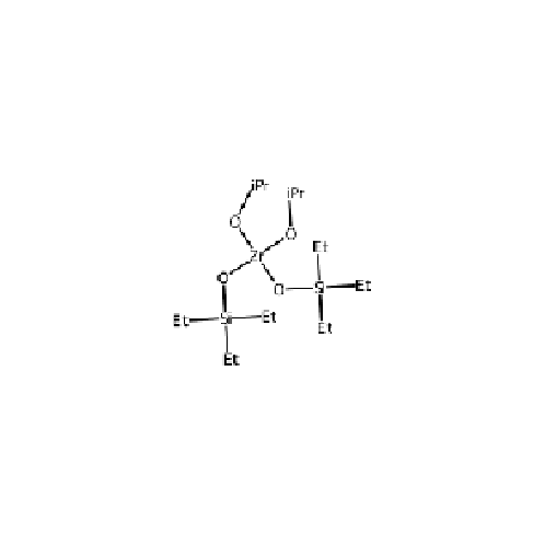 CC[Si](CC)(CC)[O][Zr]([O]C(C)C)([O]C(C)C)[O][Si](CC)(CC)CC